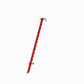 C#CCOCCOCCOCCOCCC(=O)NCCOCCOCCOCCOCCOCCOCCOCCOCCOCCOCCOCCOCCOCCOCCOCCOCCOCCOCCOCCOCCOCCOCCOCCOCCC(N)=O